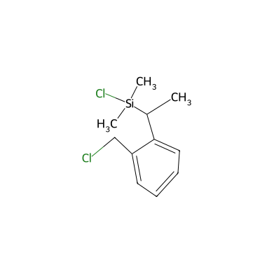 CC(c1ccccc1CCl)[Si](C)(C)Cl